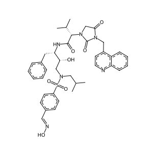 CC(C)CN(C[C@@H](O)[C@H](Cc1ccccc1)NC(=O)[C@H](C(C)C)N1CC(=O)N(Cc2ccnc3ccccc23)C1=O)S(=O)(=O)c1ccc(/C=N/O)cc1